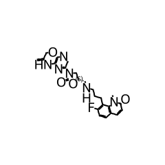 C=C1COc2ncc(N3C[C@H](CNCCCc4c(F)ccc5ccc(=O)n(C)c45)OC3=O)nc2N1